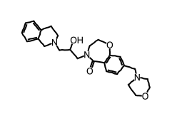 O=C1c2ccc(CN3CCOCC3)cc2OCCN1CC(O)CN1CCc2ccccc2C1